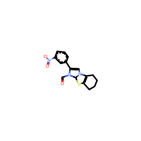 O=CN1C(c2cccc([N+](=O)[O-])c2)=CN2C3=C(CCCC3)SC12